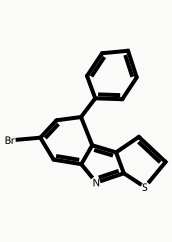 BrC1=CC(c2ccccc2)C2=c3ccsc3=NC2=C1